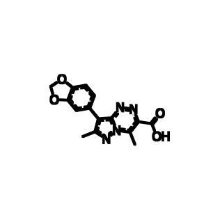 Cc1nn2c(C)c(C(=O)O)nnc2c1-c1ccc2c(c1)OCO2